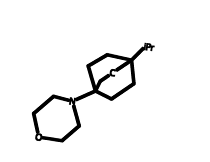 CC(C)C12CCC(N3CCOCC3)(CC1)CC2